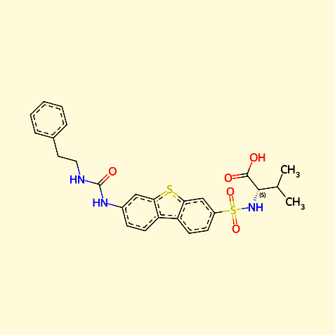 CC(C)[C@H](NS(=O)(=O)c1ccc2c(c1)sc1cc(NC(=O)NCCc3ccccc3)ccc12)C(=O)O